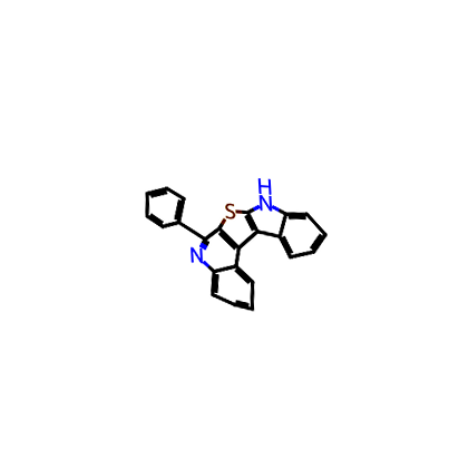 c1ccc(-c2nc3ccccc3c3c2sc2[nH]c4ccccc4c23)cc1